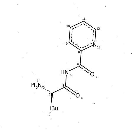 CC[C@H](C)[C@H](N)C(=O)NC(=O)c1ccccn1